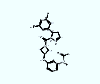 CC(=O)N(C)c1cccc(OC2CN(C(=O)N3N=CCC3c3cc(F)cc(F)c3)C2)c1